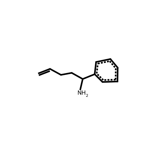 C=CCCC(N)c1ccccc1